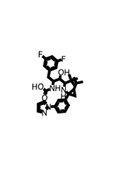 CC(C)C1CC1(NC(C(O)C(Cc1cc(F)cc(F)c1)NC(=O)O)C(C)(C)C)c1cccc(-n2cccn2)c1